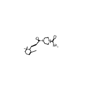 CC1=CCCC(C)(C)C1/C=C/C(=O)N1CCN(C(N)=O)CC1